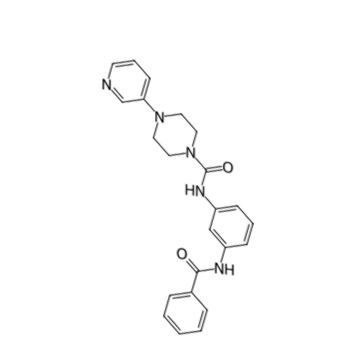 O=C(Nc1cccc(NC(=O)N2CCN(c3cccnc3)CC2)c1)c1ccccc1